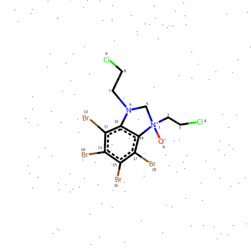 [O-][N+]1(CCCl)CN(CCCl)c2c(Br)c(Br)c(Br)c(Br)c21